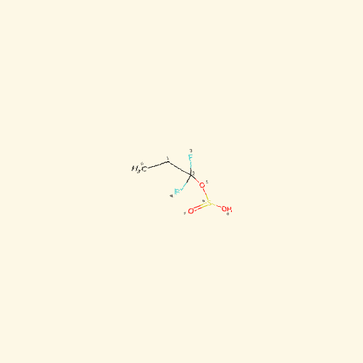 CCC(F)(F)OS(=O)O